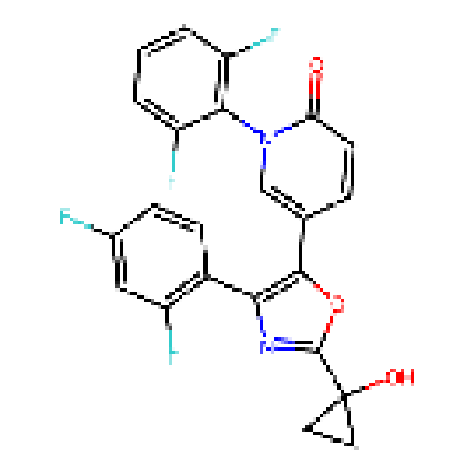 O=c1ccc(-c2oc(C3(O)CC3)nc2-c2ccc(F)cc2F)cn1-c1c(F)cccc1F